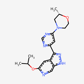 CC(C)Oc1cc2c(-c3cc(N4CCO[C@@H](C)C4)ncn3)n[nH]c2cn1